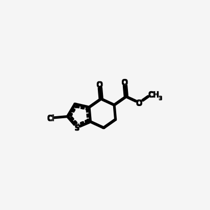 COC(=O)C1CCc2sc(Cl)cc2C1=O